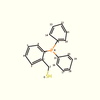 SCc1ccccc1P(c1ccccc1)c1ccccc1